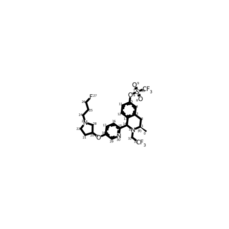 C[C@@H]1Cc2cc(OS(=O)(=O)C(F)(F)F)ccc2C(c2ccc(OC3CCN(CCCF)C3)cn2)N1CC(F)(F)F